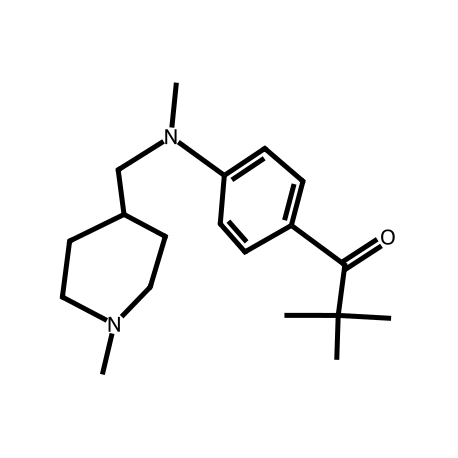 CN1CCC(CN(C)c2ccc(C(=O)C(C)(C)C)cc2)CC1